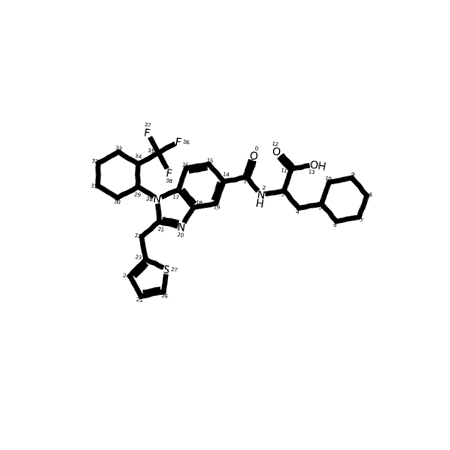 O=C(NC(CC1CCCCC1)C(=O)O)c1ccc2c(c1)nc(Cc1cccs1)n2C1CCCCC1C(F)(F)F